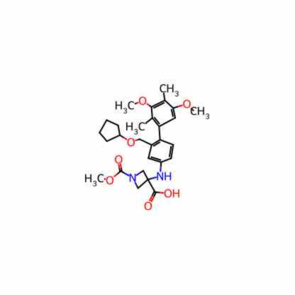 COC(=O)N1CC(Nc2ccc(-c3cc(OC)c(C)c(OC)c3C)c(COC3CCCC3)c2)(C(=O)O)C1